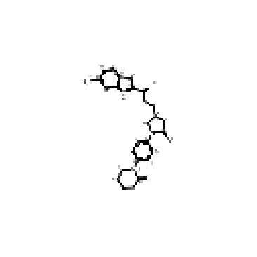 O=C(NCC1CC(=O)N(c2ccc(N3CCCCC3=O)cc2)C1)c1cc2ccc(Cl)cc2o1